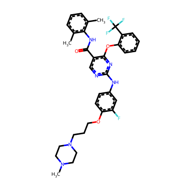 Cc1cccc(C)c1NC(=O)c1cnc(Nc2ccc(OCCCN3CCN(C)CC3)c(F)c2)nc1Oc1ccccc1C(F)(F)F